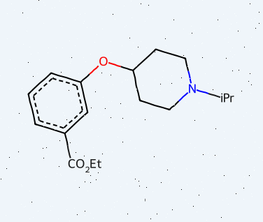 CCOC(=O)c1cccc(OC2CCN(C(C)C)CC2)c1